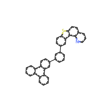 c1cc(-c2ccc3c4ccccc4c4ccccc4c3c2)cc(-c2ccc3sc4ccc5cccnc5c4c3c2)c1